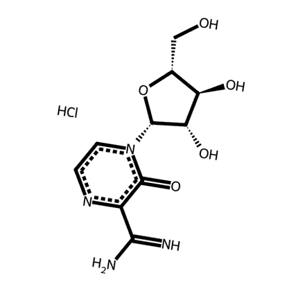 Cl.N=C(N)c1nccn([C@@H]2O[C@H](CO)[C@@H](O)[C@@H]2O)c1=O